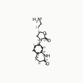 NCC[C@H]1CN(c2ccc3c(c2)NC(=O)CS3)C(=O)O1